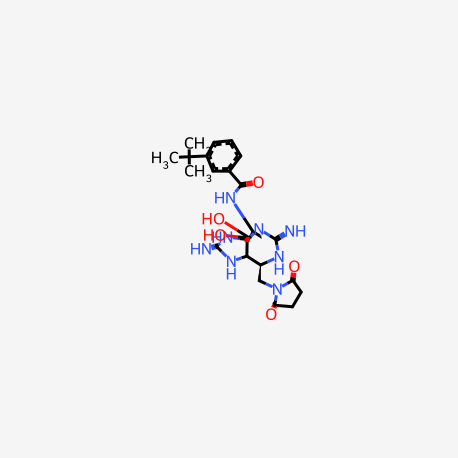 CC(C)(C)c1cccc(C(=O)NC2CN3C(=N)N[C@@H](CN4C(=O)CCC4=O)C4NC(=N)NC43C2(O)O)c1